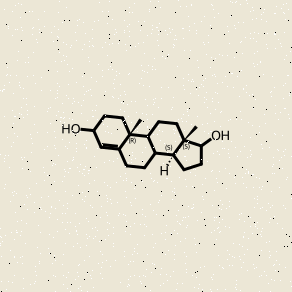 C[C@]12CCC(O)C=C1CCC1C2CC[C@]2(C)C(O)CC[C@@H]12